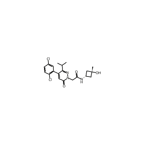 CC(C)c1nn(CC(=O)N[C@H]2C[C@@](C)(O)C2)c(=O)cc1-c1cc(Cl)ccc1Cl